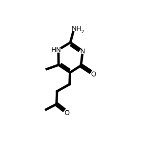 CC(=O)CCc1c(C)[nH]c(N)nc1=O